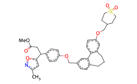 COC(=O)CC(c1ccc(OCc2ccc3c(c2)-c2ccc(OCC4CCS(=O)(=O)CC4)cc2CCC3)cc1)c1cc(C)no1